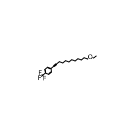 CCOCCCCCCCCCCC#Cc1ccc(C(F)(F)F)cc1